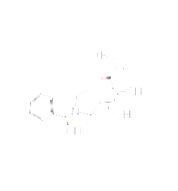 C[C@H]([C@H]1CCN([C@@H](C)c2ccccc2)C1)N(C)C(=O)OC(C)(C)C